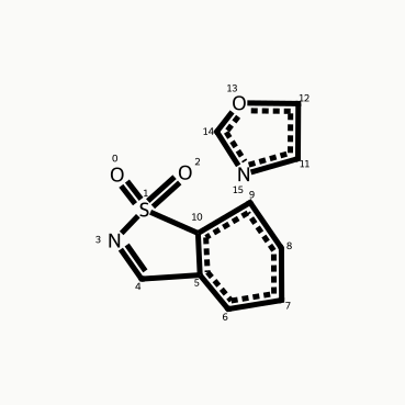 O=S1(=O)N=Cc2ccccc21.c1cocn1